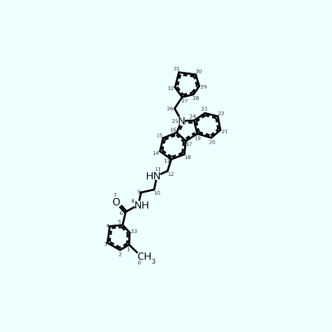 Cc1cccc(C(=O)NCCNCc2ccc3c(c2)c2ccccc2n3Cc2ccccc2)c1